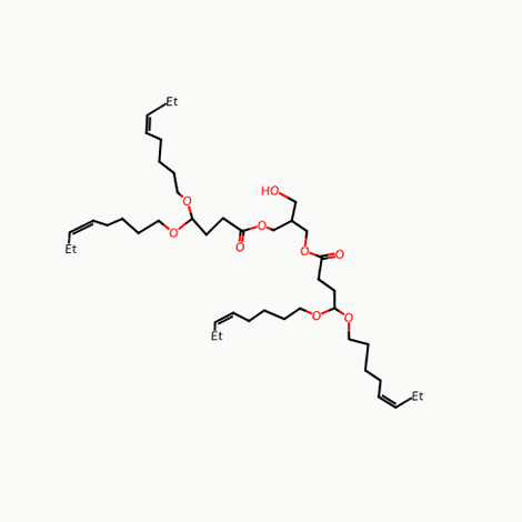 CC/C=C\CCCCOC(CCC(=O)OCC(CO)COC(=O)CCC(OCCCC/C=C\CC)OCCCC/C=C\CC)OCCCC/C=C\CC